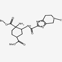 COC(=O)C1CCC(N)(C(=O)OC(C)(C)C)C(NC(=O)c2nc3c(s2)CN(C)CC3)C1